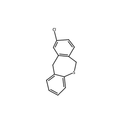 Clc1ccc2c(c1)Cc1ccccc1SC2